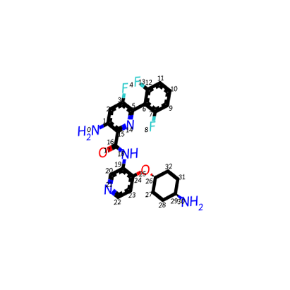 Nc1cc(F)c(-c2c(F)cccc2F)nc1C(=O)Nc1cnccc1O[C@H]1CC[C@H](N)CC1